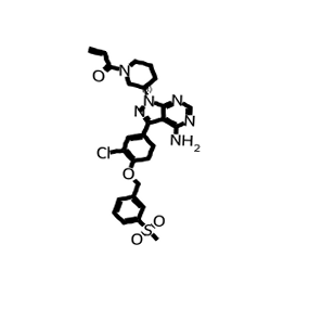 C=CC(=O)N1CCC[C@@H](n2nc(C3=CC(Cl)=C(OCc4cccc(S(C)(=O)=O)c4)CC3)c3c(N)ncnc32)C1